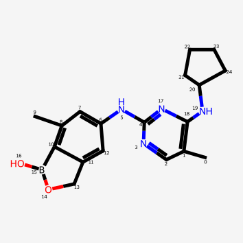 Cc1cnc(Nc2cc(C)c3c(c2)COB3O)nc1NC1CCCC1